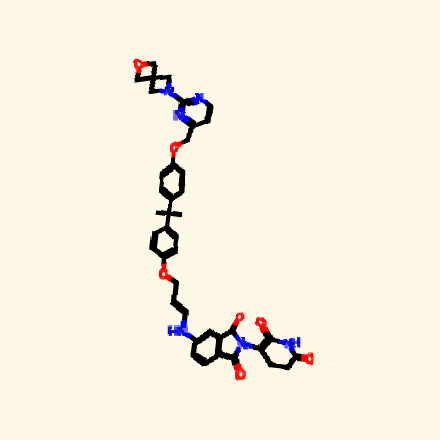 CC(C)(c1ccc(OCCCNc2ccc3c(c2)C(=O)N(C2CCC(=O)NC2=O)C3=O)cc1)c1ccc(OCc2ccnc(N3CC4(COC4)C3)n2)cc1